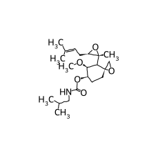 CO[C@H]1C([C@@]2(C)O[C@@H]2CC=C(C)C)[C@]2(CC[C@H]1OC(=O)NCC(C)C)CO2